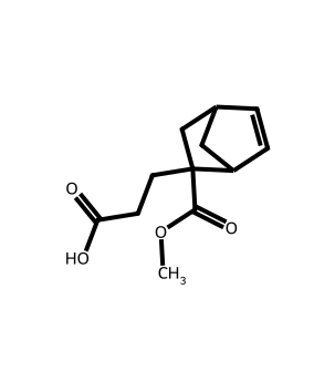 COC(=O)C1(CCC(=O)O)CC2C=CC1C2